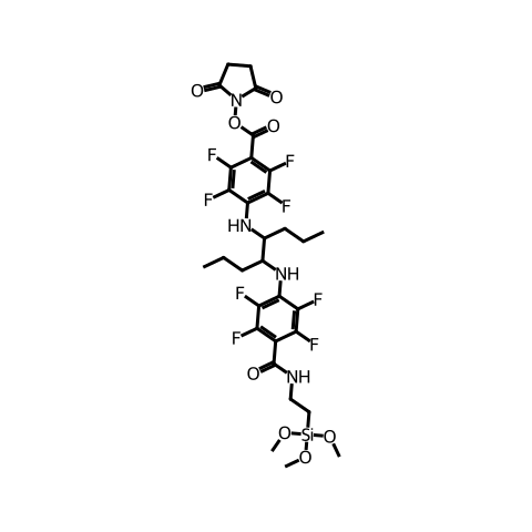 CCCC(Nc1c(F)c(F)c(C(=O)NCC[Si](OC)(OC)OC)c(F)c1F)C(CCC)Nc1c(F)c(F)c(C(=O)ON2C(=O)CCC2=O)c(F)c1F